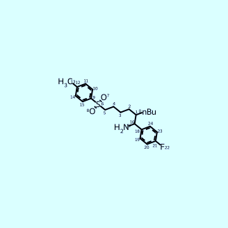 CCCCC(CCCCS(=O)(=O)c1ccc(C)cc1)C(N)c1ccc(F)cc1